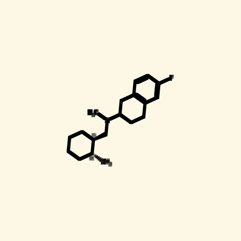 CN(C[C@@H]1CCCC[C@H]1N)C1CCc2cc(F)ccc2C1